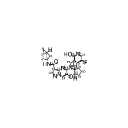 O=C(N[C@@H]1CC2C[C@@H]2C1)c1cnn2cc3c(nc12)N(Cc1cc(F)cnc1O)[C@@H]1CCC[C@@H]1O3